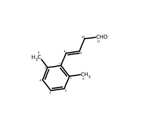 Cc1cccc(C)c1/C=C/C[C]=O